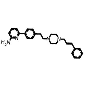 Nc1cccc(-c2ccc(CCN3CCN(C/C=C/c4ccccc4)CC3)cc2)n1